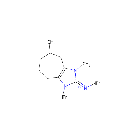 CC1CCCc2c(n(C)/c(=N\C(C)C)n2C(C)C)C1